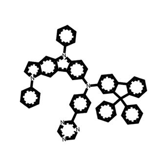 c1ccc(-n2ccc3cc4c(cc32)c2cc(N(c3ccc(-c5ncncn5)cc3)c3ccc5c(c3)C(c3ccccc3)(c3ccccc3)c3ccccc3-5)ccc2n4-c2ccccc2)cc1